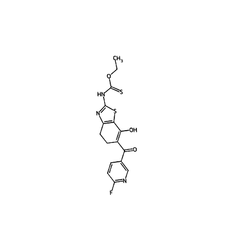 CCOC(=S)Nc1nc2c(s1)C(O)=C(C(=O)c1ccc(F)nc1)CC2